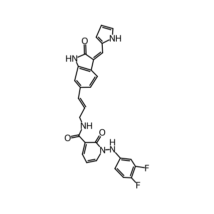 O=C1Nc2cc(/C=C/CNC(=O)c3cccn(Nc4ccc(F)c(F)c4)c3=O)ccc2/C1=C/c1ccc[nH]1